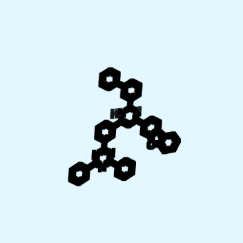 C1=C(c2cccc(-c3nc(-c4ccccc4)nc(-c4ccccc4)n3)c2)NC(c2cccc(-c3ccccc3)c2)N=C1c1ccc2c(c1)oc1ccccc12